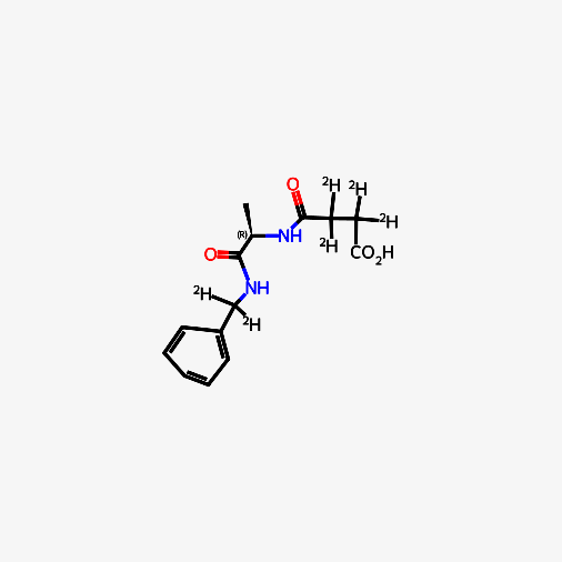 [2H]C([2H])(NC(=O)[C@@H](C)NC(=O)C([2H])([2H])C([2H])([2H])C(=O)O)c1ccccc1